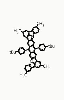 Cc1ccc2c(c1)c1cc(C)cc3c4cc5c(-c6ccc(C(C)(C)C)cc6)c6cc7c(cc6c(-c6ccc(C(C)(C)C)cc6)c5cc4n2c13)c1cc(C)cc2c3cc(C)ccc3n7c21